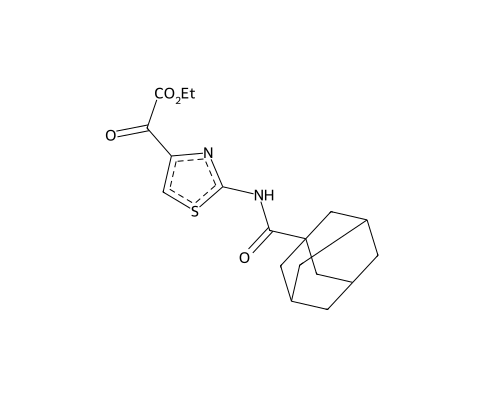 CCOC(=O)C(=O)c1csc(NC(=O)C23CC4CC(CC(C4)C2)C3)n1